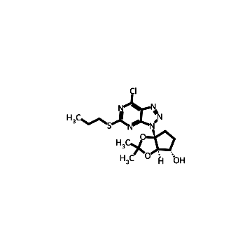 CCCSc1nc(Cl)c2nnn([C@@]34CC[C@H](O)[C@H]3OC(C)(C)O4)c2n1